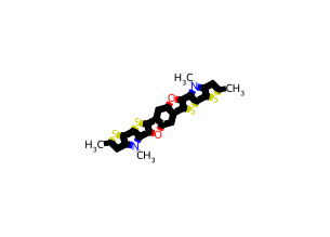 Cc1cc2c(s1)c1sc3c4cc5oc6c(sc7c8sc(C)cc8n(C)c67)c5cc4oc3c1n2C